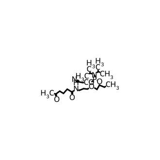 CCC(COCCCNC(=O)CCCC(C)=O)OP(OCCC#N)N(C(C)C)C(C)C